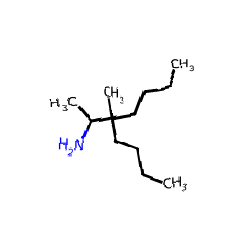 CCCCC(C)(CCCC)C(C)N